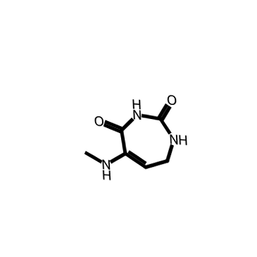 CNC1=CCNC(=O)NC1=O